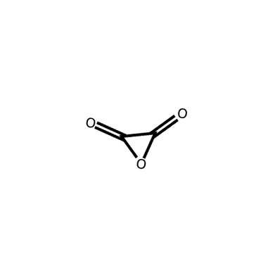 O=c1oc1=O